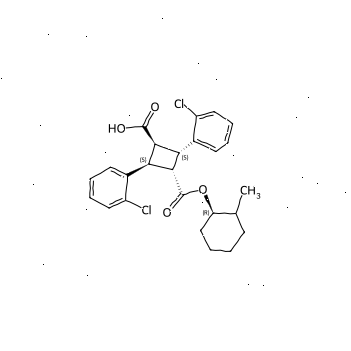 CC1CCCC[C@H]1OC(=O)[C@H]1[C@@H](c2ccccc2Cl)[C@H](C(=O)O)[C@@H]1c1ccccc1Cl